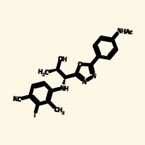 CC(=O)Nc1ccc(-c2nnc([C@H](Nc3ccc(C#N)c(I)c3C)[C@@H](C)O)o2)cc1